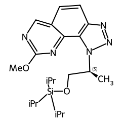 COc1ncc2ccc3nnn([C@@H](C)CO[Si](C(C)C)(C(C)C)C(C)C)c3c2n1